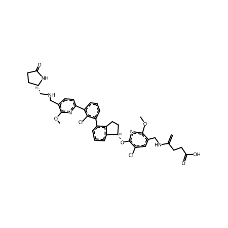 C=C(CCC(=O)O)NCc1cc(Cl)c(O[C@H]2CCc3c(-c4cccc(-c5ccc(CNC[C@@H]6CCC(=O)N6)c(OC)n5)c4Cl)cccc32)nc1OC